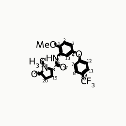 COc1ccc(Oc2ccc(C(F)(F)F)cc2)cc1NC(=O)[C@@H]1CCC(=O)N1C